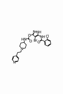 O=C(NC1CCN(CCc2ccncc2)CC1)Oc1n[nH]c(NC(=O)c2ccccc2Cl)c1Br